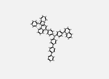 c1ccc(-c2ccc(-c3ccc(N(c4ccc(-c5cccc6ccccc56)cc4)c4ccc(-c5cc6c(c(-c7ccccc7)c7ccccn76)c6ccccc56)cc4)cc3)cc2)cc1